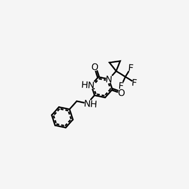 O=c1cc(NCc2ccccc2)[nH]c(=O)n1C1(C(F)(F)F)CC1